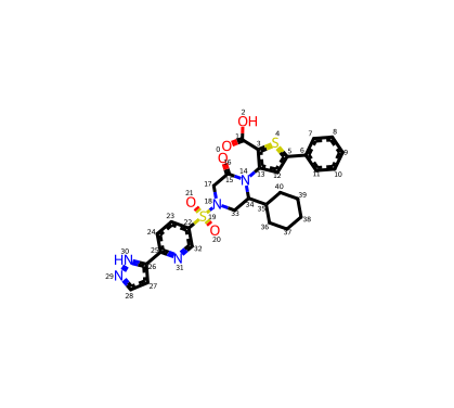 O=C(O)c1sc(-c2ccccc2)cc1N1C(=O)CN(S(=O)(=O)c2ccc(-c3ccn[nH]3)nc2)CC1C1CCCCC1